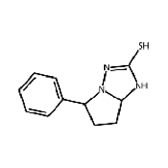 SC1=NN2C(CCC2c2ccccc2)N1